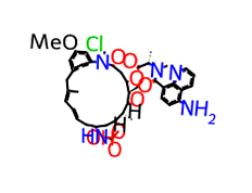 COc1cc2cc(c1Cl)N(C)C(=O)C[C@H](OC(=O)[C@H](C)N(C)C(=O)c1ccc(N)c3cccnc13)[C@]1(C)O[C@H]1[C@H](C)[C@@H]1C[C@](O)(C/C=C/C=C(\C)C2)NC(=O)O1